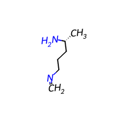 C=NCCC[C@@H](C)N